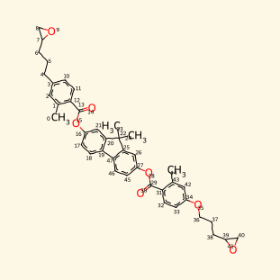 Cc1cc(CCCC2CO2)ccc1C(=O)Oc1ccc2c(c1)C(C)(C)c1cc(OC(=O)c3ccc(OCCCC4CO4)cc3C)ccc1-2